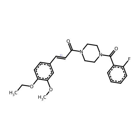 CCOc1ccc(/C=C/C(=O)N2CCN(C(=O)c3ccccc3F)CC2)cc1OC